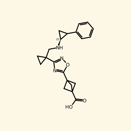 O=C(O)C12CC(c3nc(C4(CN[C@H]5CC5c5ccccc5)CC4)no3)(C1)C2